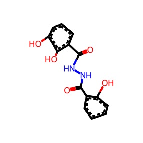 O=C(NNC(=O)c1cccc(O)c1O)c1ccccc1O